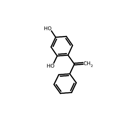 C=C(c1ccccc1)c1ccc(O)cc1O